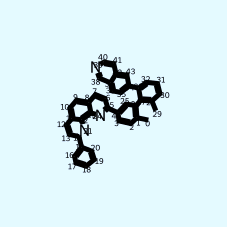 Cc1ccc(-c2ccc3ccc4ccc(-c5ccccc5)nc4c3n2)cc1-c1c(C)cccc1-c1ccc2cnccc2c1